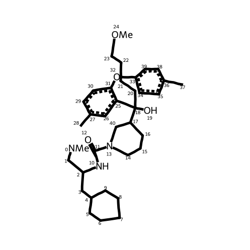 CNCC(CC1CCCCC1)NC(=O)N1CCCC(C(O)(CCCCOC)c2cc(C)ccc2Oc2ccc(C)cc2)C1